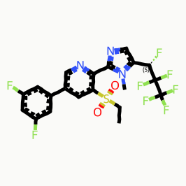 CCS(=O)(=O)c1cc(-c2cc(F)cc(F)c2)cnc1-c1ncc([C@H](F)C(F)(F)C(F)(F)F)n1C